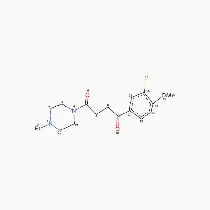 CCN1CCN(C(=O)CCC(=O)c2ccc(OC)c(F)c2)CC1